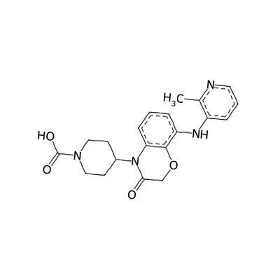 Cc1ncccc1Nc1cccc2c1OCC(=O)N2C1CCN(C(=O)O)CC1